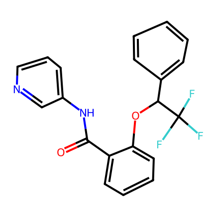 O=C(Nc1cccnc1)c1ccccc1OC(c1ccccc1)C(F)(F)F